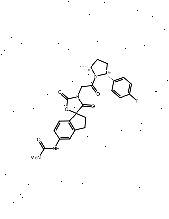 CNC(=O)Nc1ccc2c(c1)CCC21OC(=O)N(CC(=O)N2[C@H](C)CC[C@@H]2c2ccc(F)cc2)C1=O